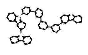 c1cc(-c2cccc(-c3cccc(-n4c5ccccc5c5cc(-n6c7ccccc7c7ccccc76)ccc54)c3)c2)cc(-c2cccc(-c3ccc4sc5ccccc5c4c3)c2)c1